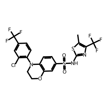 Cc1sc(NS(=O)(=O)c2ccc3c(c2)OCCN3c2ccc(C(F)(F)F)cc2Cl)nc1C(F)(F)F